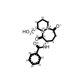 O=C(N[C@H]1CCC(=O)N2CCC[C@@H](C(=O)O)N2C1=O)c1ccccc1